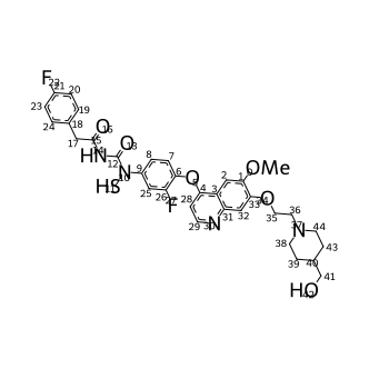 COc1cc2c(Oc3ccc(N(S)C(=O)NC(=O)Cc4ccc(F)cc4)cc3F)ccnc2cc1OCCN1CCC(CO)CC1